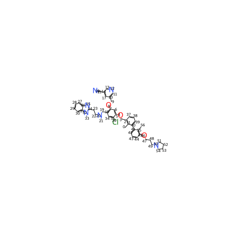 Cc1c(COc2cc(OCc3cncc(C#N)c3)c(CN(C)CCc3nc4ccccc4n3C)cc2Cl)cccc1-c1cccc(OCCCN2CCCC2)c1C